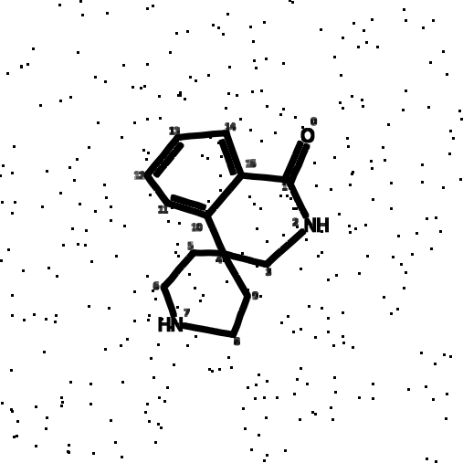 O=C1NCC2(CCNCC2)c2ccccc21